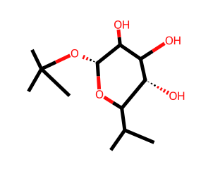 CC(C)C1O[C@H](OC(C)(C)C)C(O)C(O)[C@@H]1O